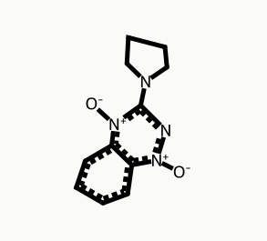 [O-][n+]1nc(N2CCCC2)[n+]([O-])c2ccccc21